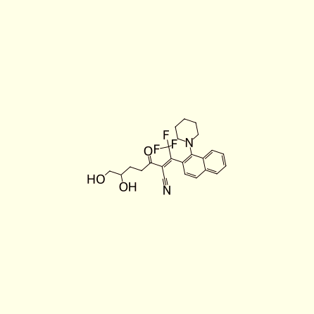 N#C/C(C(=O)CCC(O)CO)=C(\c1ccc2ccccc2c1N1CCCCC1)C(F)(F)F